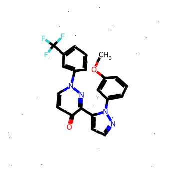 COc1cccc(-n2nccc2-c2nn(-c3cccc(C(F)(F)F)c3)ccc2=O)c1